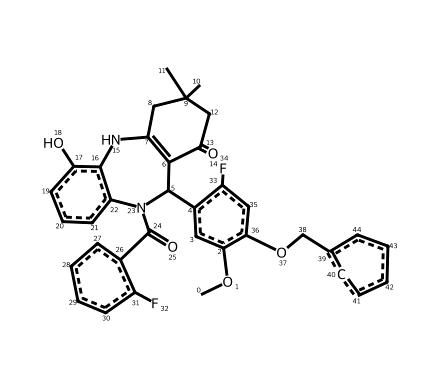 COc1cc(C2C3=C(CC(C)(C)CC3=O)Nc3c(O)cccc3N2C(=O)c2ccccc2F)c(F)cc1OCc1ccccc1